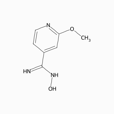 COc1cc(C(=N)NO)ccn1